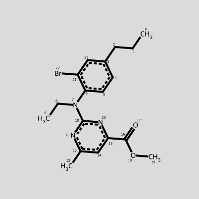 CCCc1ccc(N(CC)c2nc(C)cc(C(=O)OC)n2)c(Br)c1